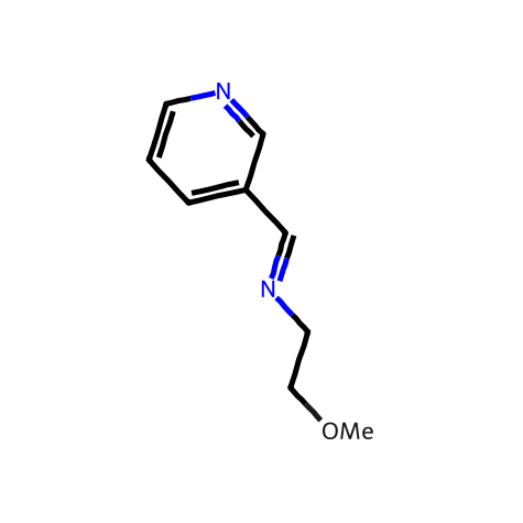 COCC/N=C/c1cccnc1